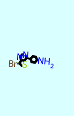 Nc1ccc(-c2ncnc3c(Br)csc23)cc1